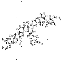 COC(=O)NC(C(=O)N1CCC[C@H]1c1nc2cc([C@H]3CC[C@H](c4ccc5[nH]c([C@@H]6CCCN6C(=O)[C@@H](NC(=O)OC)C(C)C)nc5c4)N3c3cc(F)c(N4CCC(C)(C)CC4)c(F)c3)ccc2[nH]1)C(C)C